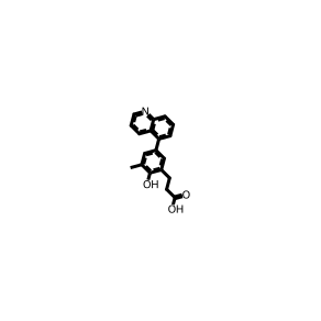 Cc1cc(-c2cccc3ncccc23)cc(CCC(=O)O)c1O